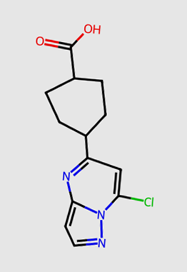 O=C(O)C1CCC(c2cc(Cl)n3nccc3n2)CC1